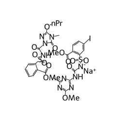 CCCOc1nn(C(=O)NS(=O)(=O)c2ccccc2C(=O)OC)c(=O)n1C.COC(=O)c1ccc(I)cc1S(=O)(=O)[N-]C(=O)Nc1nc(C)nc(OC)n1.[Na+]